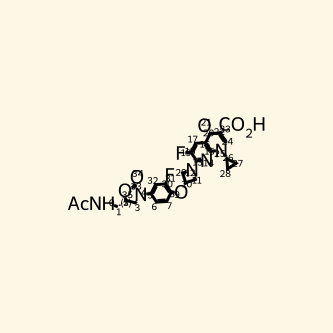 CC(=O)NC[C@H]1CN(c2ccc(OC3CN(c4nc5c(cc4F)c(=O)c(C(=O)O)cn5C4CC4)C3)c(F)c2)C(=O)O1